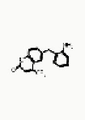 Nc1ccccc1Cc1ccc2oc(=O)cc(C(F)(F)F)c2c1